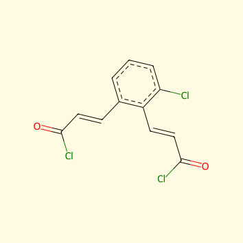 O=C(Cl)C=Cc1cccc(Cl)c1C=CC(=O)Cl